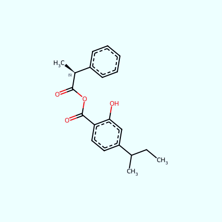 CCC(C)c1ccc(C(=O)OC(=O)[C@@H](C)c2ccccc2)c(O)c1